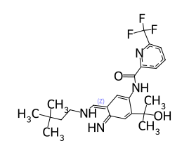 CC(C)(C)CCN/C=C1/C=C(NC(=O)c2cccc(C(F)(F)F)n2)C(C(C)(C)O)=CC1=N